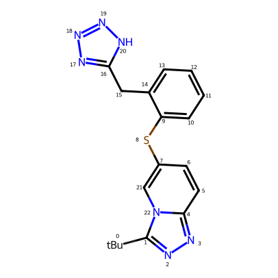 CC(C)(C)c1nnc2ccc(Sc3ccccc3Cc3nnn[nH]3)cn12